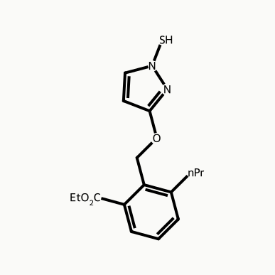 CCCc1cccc(C(=O)OCC)c1COc1ccn(S)n1